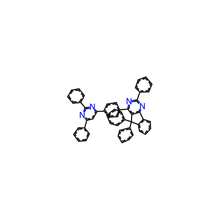 c1ccc(-c2cc(-c3ccc(-c4nc(-c5ccccc5)nc5c4C(c4ccccc4)(c4ccccc4)c4ccccc4-5)cc3)nc(-c3ccccc3)n2)cc1